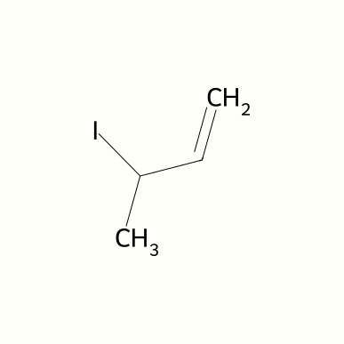 C=CC(C)I